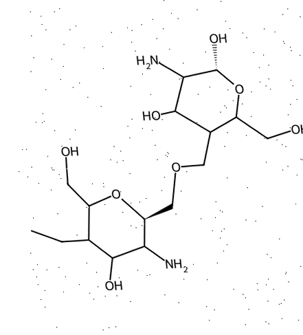 CCC1C(CO)O[C@@H](COCC2C(CO)O[C@@H](O)C(N)C2O)C(N)C1O